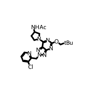 CC(=O)NC1CCN(c2nc(OCC(C)(C)C)nc3nn(Cc4ncccc4Cl)nc23)C1